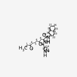 CCC(=O)CCCCCC(NC(=O)c1cn[nH]c1)C(=O)Nc1ccc2ccccc2c1